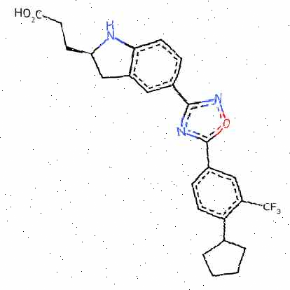 O=C(O)CC[C@@H]1Cc2cc(-c3noc(-c4ccc(C5CCCC5)c(C(F)(F)F)c4)n3)ccc2N1